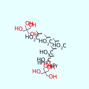 C=C(C)C(=O)O.C=C(C)C(=O)O.C=C(C)C(=O)O.C=C(C)C(=O)O.C=C(C)C(=O)O.CCCOCCC.OCC(CO)(CO)CO.OCC(CO)(CO)CO